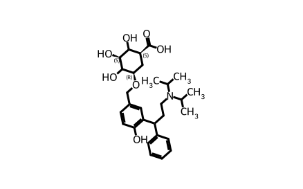 CC(C)N(CCC(c1ccccc1)c1cc(CO[C@@H]2C[C@H](C(=O)O)C(O)[C@H](O)C2O)ccc1O)C(C)C